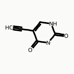 C#CC1=CNC(=O)[N]C1=O